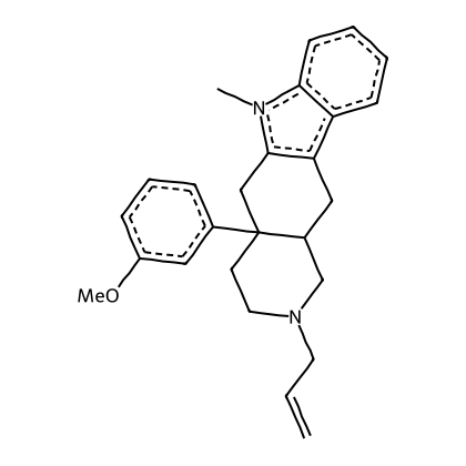 C=CCN1CCC2(c3cccc(OC)c3)Cc3c(c4ccccc4n3C)CC2C1